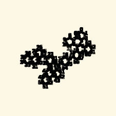 c1ccc(-c2c(-c3ccccc3)c3cc(-c4ccc(N(c5ccc(-c6cccc7c6ccc6ccccc67)cc5)c5cccc6c5ccc5ccccc56)cc4)ccc3c3ccccc23)cc1